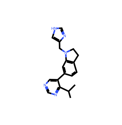 CC(C)c1ncncc1-c1ccc2c(c1)N(Cc1c[nH]cn1)CC2